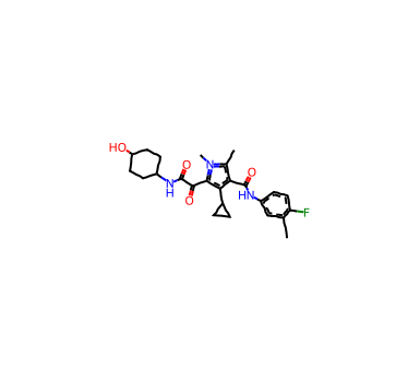 Cc1cc(NC(=O)c2c(C3CC3)c(C(=O)C(=O)NC3CCC(O)CC3)n(C)c2C)ccc1F